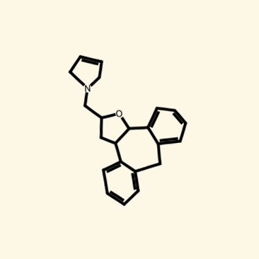 C1=CCN(CC2CC3c4ccccc4Cc4ccccc4C3O2)C1